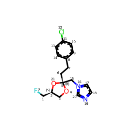 FC[C@@H]1CO[C@@](CCc2ccc(Cl)cc2)(Cn2ccnc2)O1